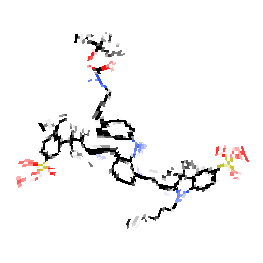 C=C(/C=C/C1=C(Nc2ccc(CCNC(=O)OC(C)(C)C)cc2)C(=C/C=C2/N(CCCC)c3ccc(S(=O)(=O)O)cc3C2(C)C)/CCC1)C(C)(C)c1cc(S(=O)(=O)O)ccc1C